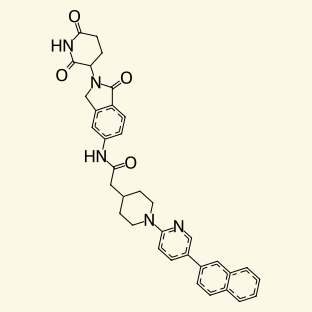 O=C1CCC(N2Cc3cc(NC(=O)CC4CCN(c5ccc(-c6ccc7ccccc7c6)cn5)CC4)ccc3C2=O)C(=O)N1